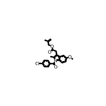 C=C(C)COC(=O)Cc1c(C)n(C(=O)c2ccc(Cl)cc2)c2ccc(OC)cc12